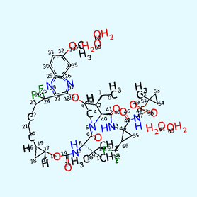 CC[C@@H]1[C@@H]2CN(C(=O)[C@H](C(C)(C)C)NC(=O)O[C@@H]3C[C@H]3CCCCC(F)(F)c3nc4ccc(OC)cc4nc3O2)[C@@H]1C(=O)N[C@]1(C(=O)NS(=O)(=O)C2(C)CC2)C[C@H]1C(F)F.O.O.O.O